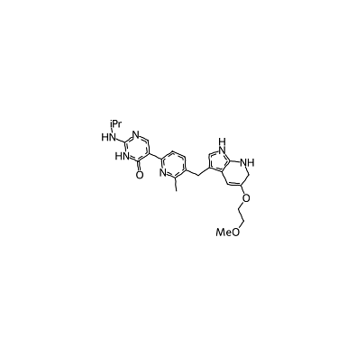 COCCOC1=Cc2c(Cc3ccc(-c4cnc(NC(C)C)[nH]c4=O)nc3C)c[nH]c2NC1